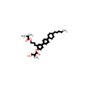 C=C(C)C(=O)OCCCc1cc(-c2ccc(C3CCC(CCCCC)CC3)cc2)ccc1OC(=O)C(=C)CO